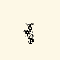 CCN(c1cc(Cl)cc(C(=O)NCc2c(C)ccn3ccnc23)c1C)C1CCC(N(C)C)CC1